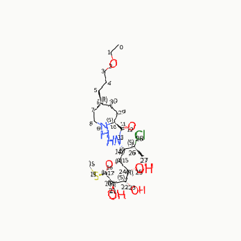 CCOCCC[C@@H]1CCN[C@H](C(=O)N[C@@H]([C@H]2O[C@H](SC)[C@H](O)[C@@H](O)[C@H]2O)[C@H](C)Cl)CC1